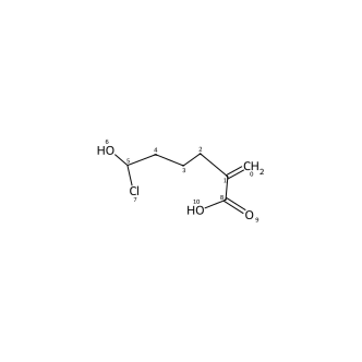 C=C(CCCC(O)Cl)C(=O)O